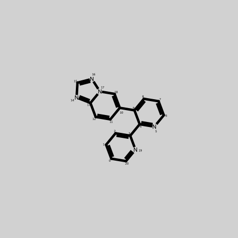 c1ccc(-c2ncccc2-c2ccc3ncnn3c2)nc1